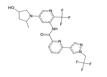 CC1CC(O)CN1c1cnc(C(F)(F)F)c(NC(=O)c2cccc(-c3cnn(CC(F)(F)F)c3)n2)c1